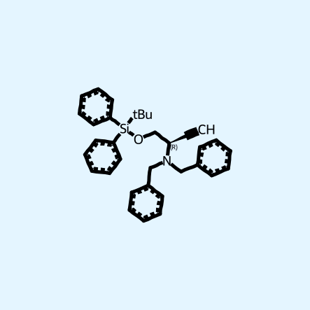 C#C[C@H](CO[Si](c1ccccc1)(c1ccccc1)C(C)(C)C)N(Cc1ccccc1)Cc1ccccc1